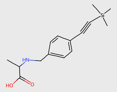 CC(NCc1ccc(C#C[Si](C)(C)C)cc1)C(=O)O